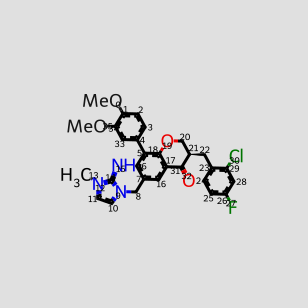 COc1ccc(-c2cc(Cn3ccn(C)c3=N)cc3c2OC[C@@H](Cc2ccc(F)cc2Cl)C3=O)cc1OC